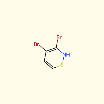 BrC1=C(Br)NSC=C1